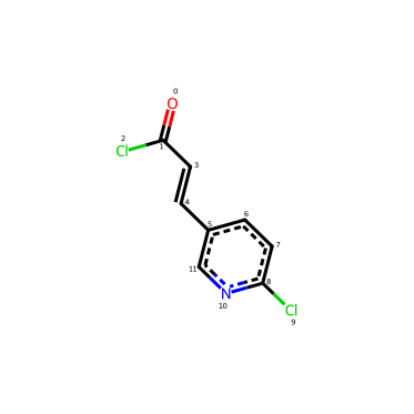 O=C(Cl)C=Cc1ccc(Cl)nc1